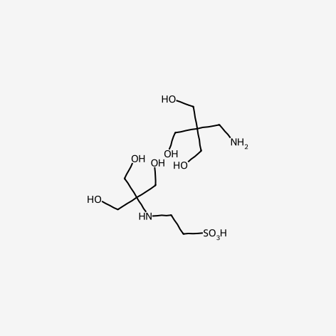 NCC(CO)(CO)CO.O=S(=O)(O)CCNC(CO)(CO)CO